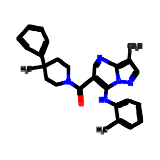 Cc1ccccc1Nc1c(C(=O)N2CCC(C)(c3ccccc3)CC2)cnc2c(C(=O)O)cnn12